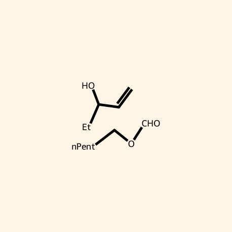 C=CC(O)CC.CCCCCCOC=O